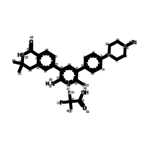 CCN1CCN(c2ccc(-c3cc(-c4ccc5c(c4)CC(C)(C)NC5=O)c(N)nc3F)cc2)CC1.O=C(O)C(F)(F)F